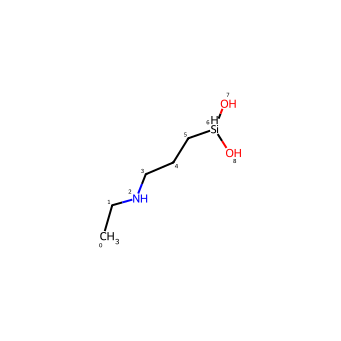 CCNCCC[SiH](O)O